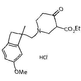 CCOC(=O)C1CN(CC2(C)Cc3ccc(OC)cc32)CCC1=O.Cl